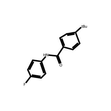 CC(C)(C)c1ccc(C(=O)Nc2ccc(F)cc2)cc1